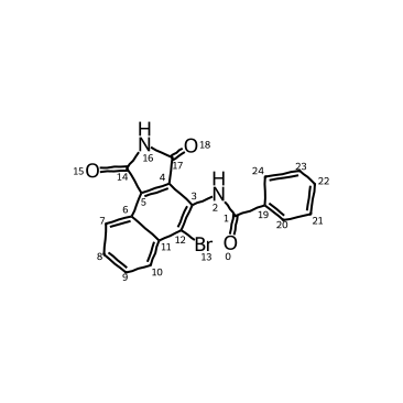 O=C(Nc1c2c(c3ccccc3c1Br)C(=O)NC2=O)c1ccccc1